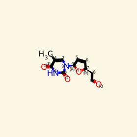 Cc1cn([C@H]2C=C[C@@H](CC=O)O2)c(=O)[nH]c1=O